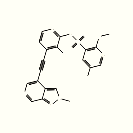 COc1ncc(Cl)cc1S(=O)(=O)Nc1nccc(C#Cc2cncc3nn(C)cc23)c1F